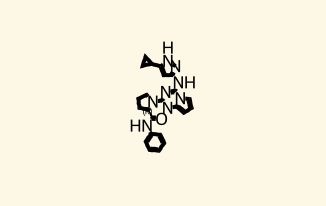 O=C(Nc1ccccc1)[C@H]1CCCN1c1nc(Nc2cc(C3CC3)[nH]n2)n2cccc2n1